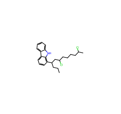 CCCC(CC(Cl)CCCCC(C)Cl)c1cccc2c1[nH]c1ccccc12